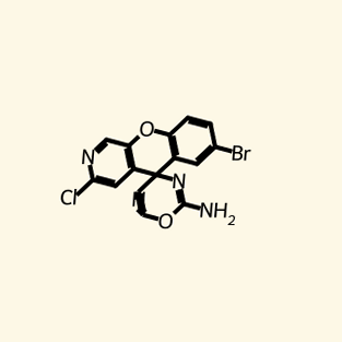 NC1=NC2(c3cc(Br)ccc3Oc3cnc(Cl)cc32)c2ncccc2O1